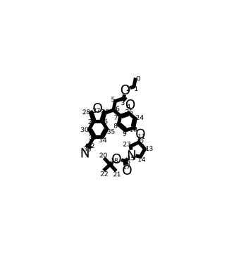 CCOC(=O)CC(c1ccc(O[C@H]2CCN(C(=O)OC(C)(C)C)C2)cc1)c1occ2cc(C#N)ccc12